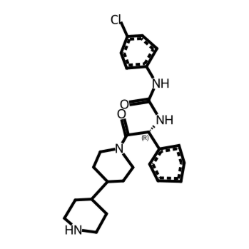 O=C(Nc1ccc(Cl)cc1)N[C@@H](C(=O)N1CCC(C2CCNCC2)CC1)c1ccccc1